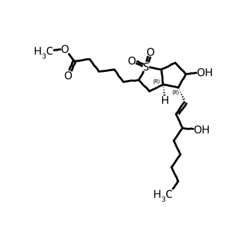 CCCCCC(O)C=C[C@H]1C(O)CC2[C@@H]1CC(CCCCC(=O)OC)S2(=O)=O